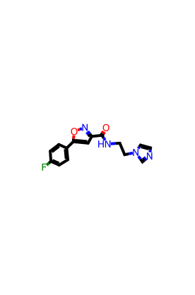 O=C(NCCn1ccnc1)c1cc(-c2ccc(F)cc2)on1